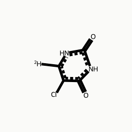 [2H]c1[nH]c(=O)[nH]c(=O)c1Cl